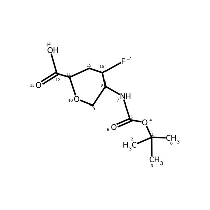 CC(C)(C)OC(=O)NC1COC(C(=O)O)CC1F